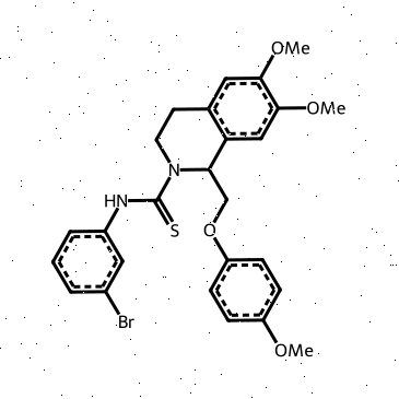 COc1ccc(OCC2c3cc(OC)c(OC)cc3CCN2C(=S)Nc2cccc(Br)c2)cc1